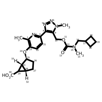 Cc1nc(-c2nnn(C)c2COC(=O)N(C)CC2CCC2)ccc1O[C@H]1CC[C@@H]2C(C(=O)O)[C@H]12